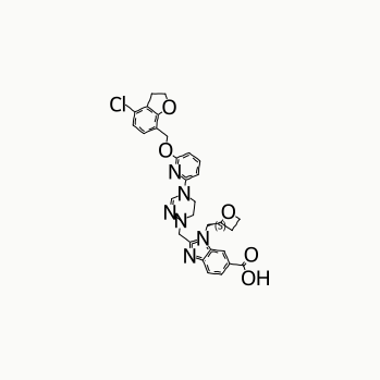 O=C(O)c1ccc2nc(CN3CCN(c4cccc(OCc5ccc(Cl)c6c5OCC6)n4)C=N3)n(C[C@@H]3CCO3)c2c1